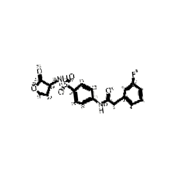 O=C(Cc1cccc(F)c1)Nc1ccc(S(=O)(=O)NC2CCOC2=O)cc1